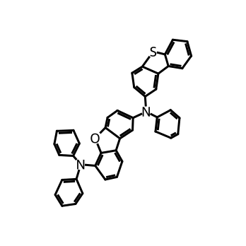 c1ccc(N(c2ccc3oc4c(N(c5ccccc5)c5ccccc5)cccc4c3c2)c2ccc3sc4ccccc4c3c2)cc1